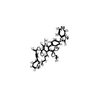 CCCCCC1C(C(=O)OC(C)C#Cc2cccnc2)=C(C)NC(c2ccc(-n3c(C)nc4cnccc43)cc2)=C1C(=O)OCC